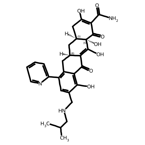 CC(C)CNCc1cc(-c2ccccn2)c2c(c1O)C(=O)C1=C(O)[C@]3(O)C(=O)C(C(N)=O)=C(O)C[C@@H]3C[C@@H]1C2